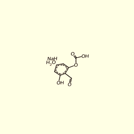 O.O=Cc1c(O)cccc1OC(=O)O.[NaH]